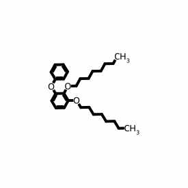 CCCCCCCCOc1cccc(Oc2ccccc2)c1OCCCCCCCC